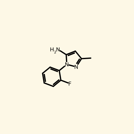 Cc1cc(N)n(-c2ccccc2F)n1